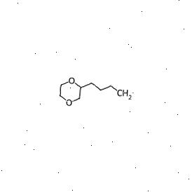 [CH2]CCCC1COCCO1